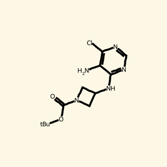 CC(C)(C)OC(=O)N1CC(Nc2ncnc(Cl)c2N)C1